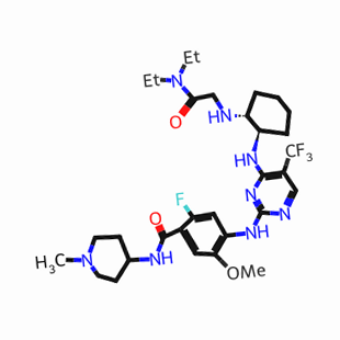 CCN(CC)C(=O)CN[C@@H]1CCCC[C@H]1Nc1nc(Nc2cc(F)c(C(=O)NC3CCN(C)CC3)cc2OC)ncc1C(F)(F)F